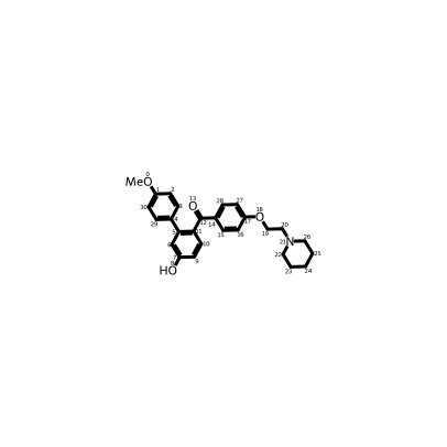 COc1ccc(-c2cc(O)ccc2C(=O)c2ccc(OCCN3CCCCC3)cc2)cc1